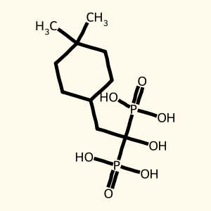 CC1(C)CCC(CC(O)(P(=O)(O)O)P(=O)(O)O)CC1